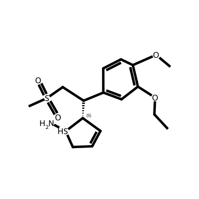 CCOc1cc(C(CS(C)(=O)=O)[C@@H]2C=CC[SH]2N)ccc1OC